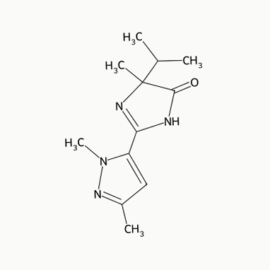 Cc1cc(C2=NC(C)(C(C)C)C(=O)N2)n(C)n1